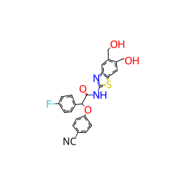 N#Cc1ccc(OC(C(=O)Nc2nc3cc(CO)c(CO)cc3s2)c2ccc(F)cc2)cc1